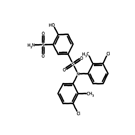 Cc1c(Cl)cccc1N(c1cccc(Cl)c1C)S(=O)(=O)c1ccc(O)c(S(N)(=O)=O)c1